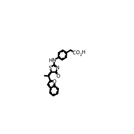 C/C(=C1\SC(Nc2ccc(CC(=O)O)cc2)=NC1=O)c1cc2ccccc2o1